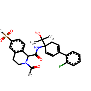 CCC(=O)N1CCc2cc(S(C)(=O)=O)ccc2C1C(=O)NC1(C(O)(C(F)(F)F)C(F)(F)F)C=CC(c2ccccc2F)=CC1